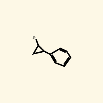 BrC1C[C]1c1ccccc1